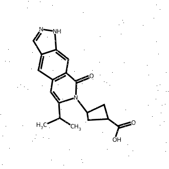 CC(C)c1cc2cc3cn[nH]c3cc2c(=O)n1C1CC(C(=O)O)C1